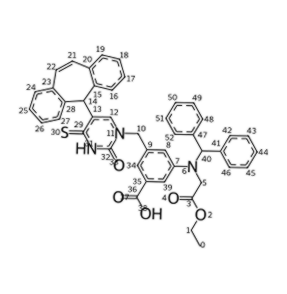 CCOC(=O)CN(c1cc(Cn2cc(C3c4ccccc4C=Cc4ccccc43)c(=S)[nH]c2=O)cc(C(=O)O)c1)C(c1ccccc1)c1ccccc1